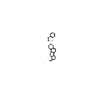 CC(=O)OC(C(=O)N(C)[C@H]1CC[C@@]2(C)C(=CC[C@H]3[C@@H]4CC[C@@H]5[C@H](C)N(C)C[C@@]54CC[C@@H]32)C1)c1ccccc1